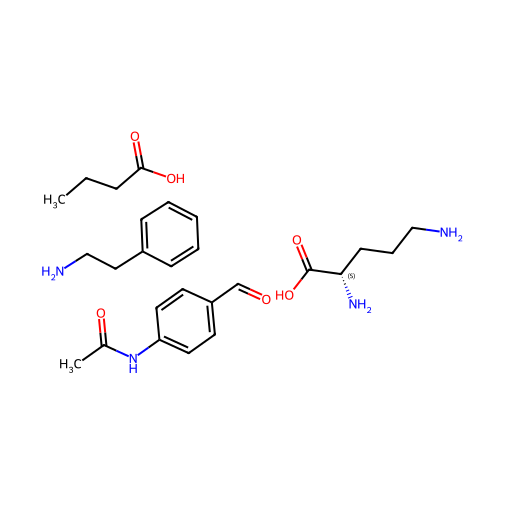 CC(=O)Nc1ccc(C=O)cc1.CCCC(=O)O.NCCC[C@H](N)C(=O)O.NCCc1ccccc1